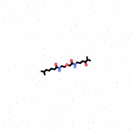 CC(C)CCCCC(=O)NCCOCC(=O)NCCCC(=O)C(C)C